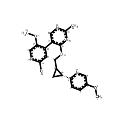 COc1ccc([C@@H]2CC2COc2nc(C)ncc2-c2cc(Cl)ncc2OC)nc1